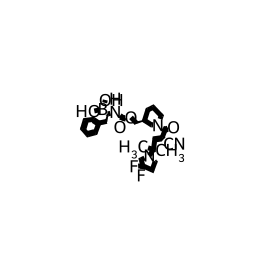 CC(C)(C=C(C#N)C(=O)N1CCC[C@H](COC(=O)N[C@@H](Cc2ccccc2)B(O)O)C1)N1CCC(F)(F)C1